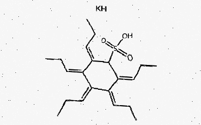 CCC=C1C(=CCC)C(=CCC)C(S(=O)(=O)O)C(=CCC)C1=CCC.[KH]